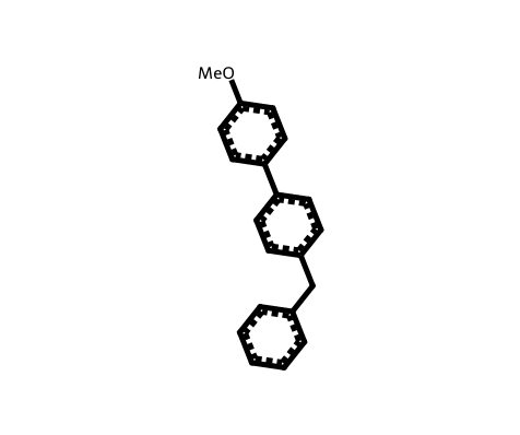 COc1ccc(-c2ccc(Cc3ccccc3)cc2)cc1